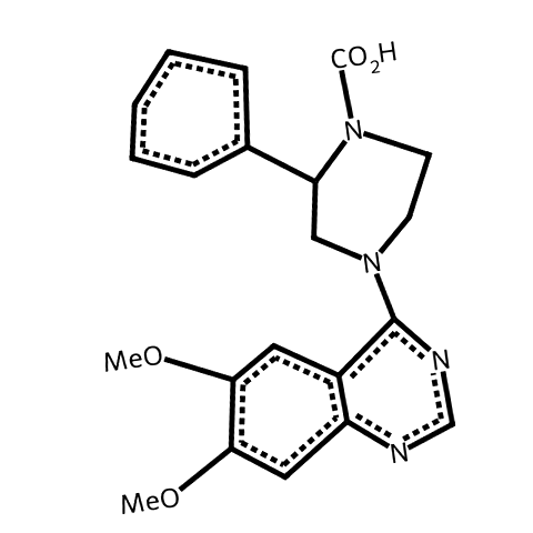 COc1cc2ncnc(N3CCN(C(=O)O)C(c4ccccc4)C3)c2cc1OC